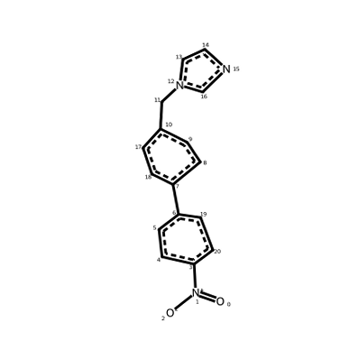 O=[N+]([O-])c1ccc(-c2ccc(Cn3ccnc3)cc2)cc1